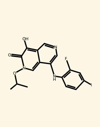 CC(C)On1cc2c(Nc3ccc(I)cc3F)cncc2c(O)c1=O